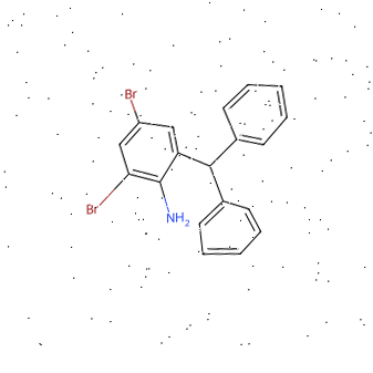 Nc1c(Br)cc(Br)cc1C(c1ccccc1)c1ccccc1